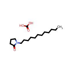 CCCCCCCCCCCCN1CCCC1=O.O=C(O)O